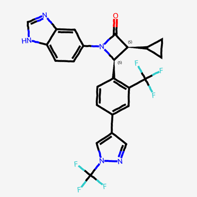 O=C1[C@@H](C2CC2)[C@@H](c2ccc(-c3cnn(C(F)(F)F)c3)cc2C(F)(F)F)N1c1ccc2[nH]cnc2c1